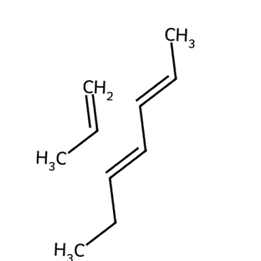 C=CC.CC=CC=CCC